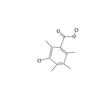 Cc1c(C)c(Cl)c(C)c(C(=O)OCl)c1C